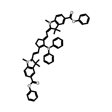 CN1/C(=C/C=C2\CCC(/C=C/C3=[N+](C)c4ccc(C(=O)Oc5ccccc5)cc4C3(C)C)=C2N(c2ccccc2)c2ccccc2)C(C)(C)c2cc(C(=O)Oc3ccccc3)ccc21